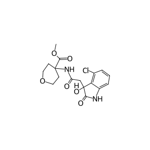 COC(=O)C1(NC(=O)CC2(O)C(=O)Nc3cccc(Cl)c32)CCOCC1